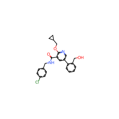 O=C(NCc1ccc(Cl)cc1)c1cc(-c2ccccc2CO)cnc1OCC1CC1